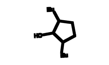 CCC(C)C1CCC(C(C)CC)C1O